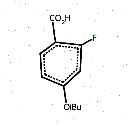 CC(C)COc1ccc(C(=O)O)c(F)c1